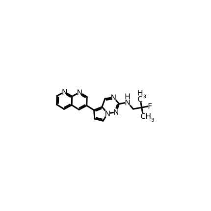 CC(C)(F)CNc1ncc2c(-c3cnc4ncccc4c3)ccn2n1